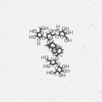 C=C1C[C@@]23CCC4[C@](C)(C(=O)OC5OC(CO)C(O)CC5OC5OC(CO)C(O)C(O)C5O)CCC[C@@]4(C)[C@@H]2CC[C@]1(OC1OC(COC2OC(CO)C(O)C(O)C2O)C(O)CC1OC1OC(CO)C(O)C(O)C1O)C3